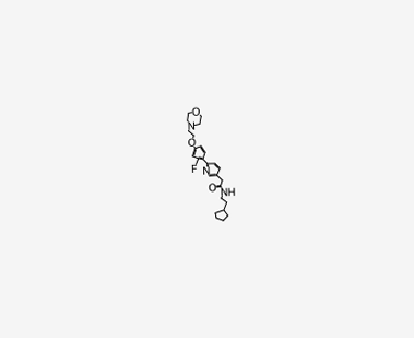 O=C(Cc1ccc(-c2ccc(OCCN3CCOCC3)cc2F)nc1)NCCC1CCCC1